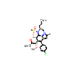 COCC[C@H]1Cn2c(C)cc3c(-c4ccc(Cl)cc4)c([C@H](OC(C)(C)C)C(=O)OC)c(C)c(c32)N1S(C)(=O)=O